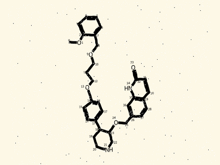 COc1ccccc1COCCCOc1ccc(C2CCNCC2OCc2ccc3ccc(=O)[nH]c3c2)cc1